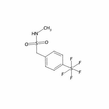 CNS(=O)(=O)Cc1ccc(S(F)(F)(F)(F)F)cc1